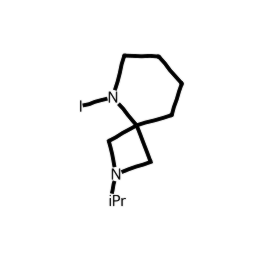 CC(C)N1CC2(CCCCN2I)C1